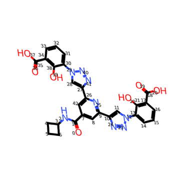 O=C(NC1CCC1)c1cc(-c2cn(-c3cccc(C(=O)O)c3O)nn2)nc(-c2cn(-c3cccc(C(=O)O)c3O)nn2)c1